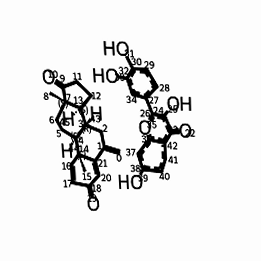 C=C1C[C@@H]2[C@H](CC[C@]3(C)C(=O)CC[C@@H]23)[C@@]2(C)C=CC(=O)C=C12.O=c1c(O)c(-c2ccc(O)c(O)c2)oc2cc(O)ccc12